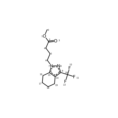 COC(=O)CCCn1nc(C(F)(F)F)c2c1CCCC2